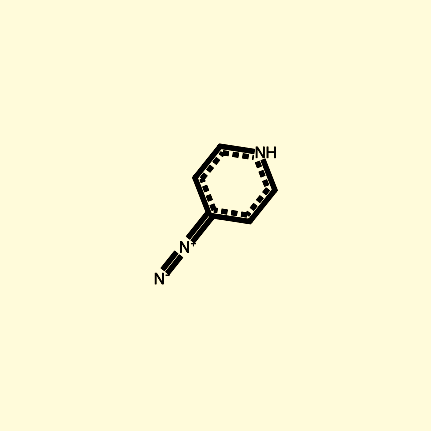 [N-]=[N+]=c1cc[nH]cc1